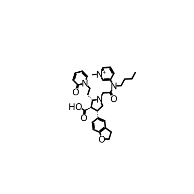 CCCCN(C(=O)CN1C[C@H](c2ccc3c(c2)CCO3)[C@@H](C(=O)O)[C@@H]1CCn1ccccc1=O)c1ccc[n+](C)c1